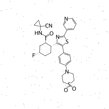 N#CC1(NC(=O)[C@@H]2C[C@@H](F)CC[C@H]2c2nc(-c3cccnc3)sc2-c2ccc(N3CCS(=O)(=O)CC3)cc2)CC1